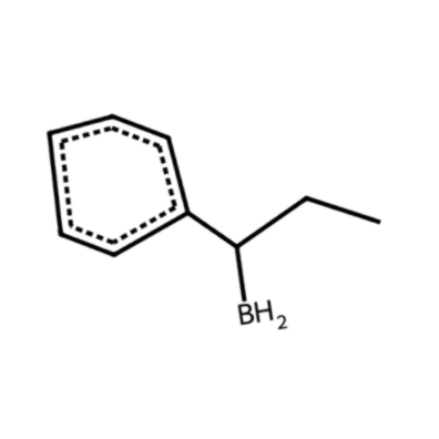 BC(CC)c1ccccc1